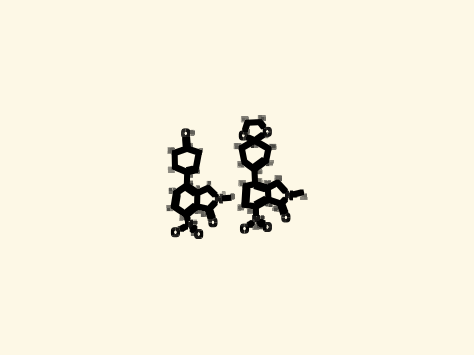 CN1Cc2c(C3=CCC(=O)CC3)ccc([N+](=O)[O-])c2C1=O.CN1Cc2c(C3=CCC4(CC3)OCCO4)ccc([N+](=O)[O-])c2C1=O